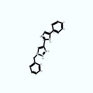 c1ccc(Cn2cc(-c3ncc(-c4ccccc4)o3)nn2)cc1